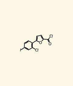 O=C(Cl)c1ccc(-c2ccc(I)cc2Cl)o1